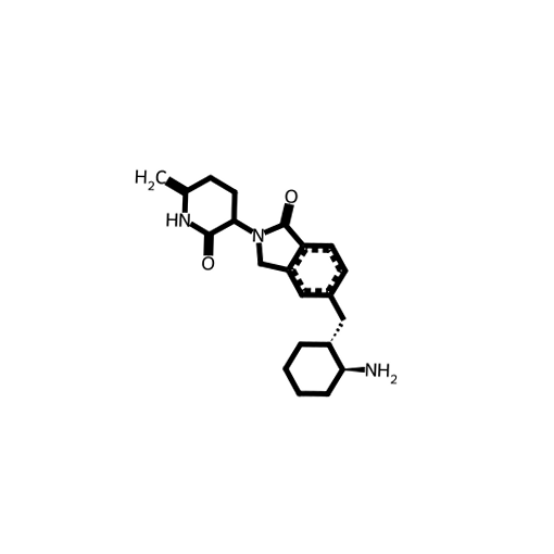 C=C1CCC(N2Cc3cc(C[C@H]4CCCC[C@@H]4N)ccc3C2=O)C(=O)N1